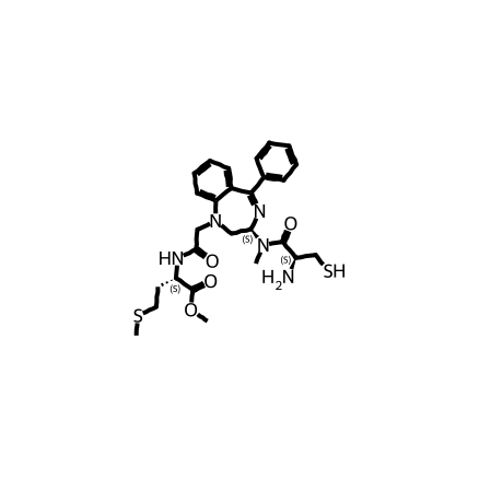 COC(=O)[C@H](CCSC)NC(=O)CN1C[C@H](N(C)C(=O)[C@H](N)CS)N=C(c2ccccc2)c2ccccc21